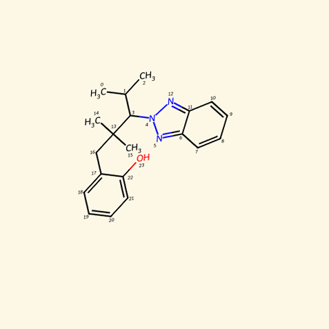 CC(C)C(n1nc2ccccc2n1)C(C)(C)Cc1ccccc1O